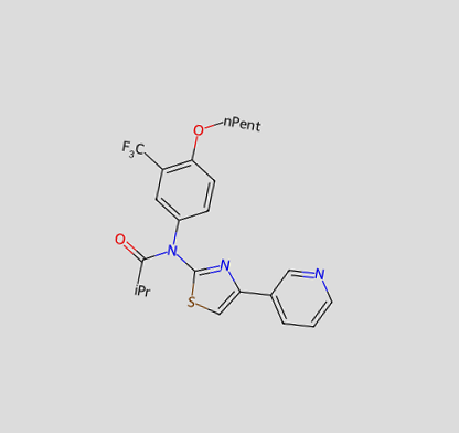 CCCCCOc1ccc(N(C(=O)C(C)C)c2nc(-c3cccnc3)cs2)cc1C(F)(F)F